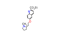 CCOC(=O)c1ccc2cc(OCCC3CCCN3C)ccc2n1